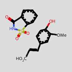 COc1cc(C=CC(=O)O)ccc1O.O=C1NS(=O)(=O)c2ccccc21